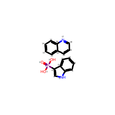 O=P(O)(O)c1c[nH]c2ccccc12.c1ccc2ncccc2c1